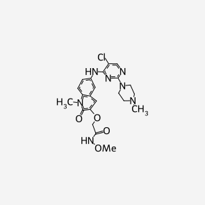 CONC(=O)COc1cc2cc(Nc3nc(N4CCN(C)CC4)ncc3Cl)ccc2n(C)c1=O